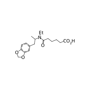 CCN(C(=O)CCCCC(=O)O)C(C)Cc1ccc2c(c1)OCO2